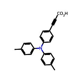 Cc1ccc(N(c2ccc(C)cc2)c2ccc(C#CC(=O)O)cc2)cc1